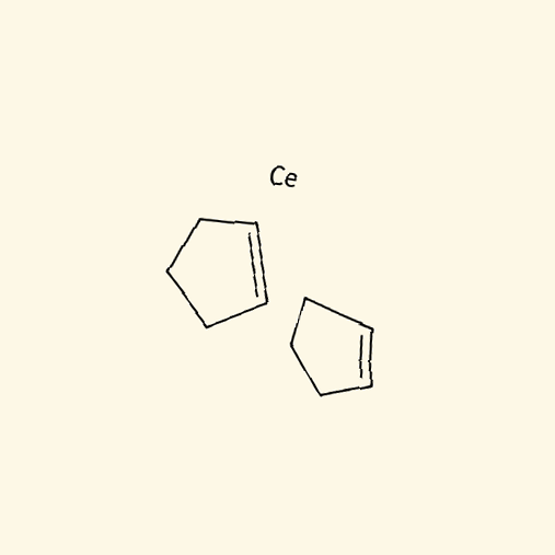 C1=CCCC1.C1=CCCC1.[Ce]